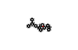 C1=C2c3c(c(-c4ccc(-c5nc(-c6ccccc6)cc(-c6ccccc6)n5)cc4)nc4cccc(-c5ccc(-c6cccc7oc8ccccc8c67)cc5)c34)SC2CCC1